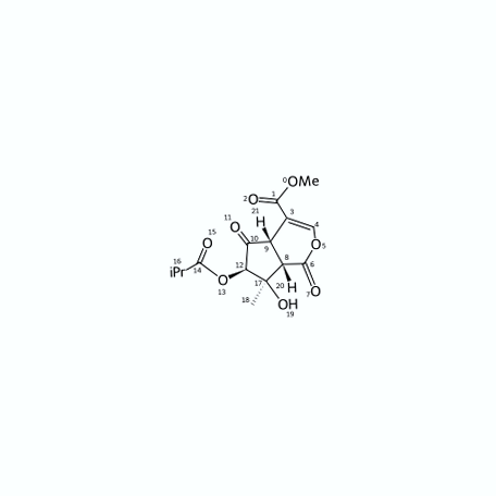 COC(=O)C1=COC(=O)[C@H]2[C@@H]1C(=O)[C@H](OC(=O)C(C)C)[C@]2(C)O